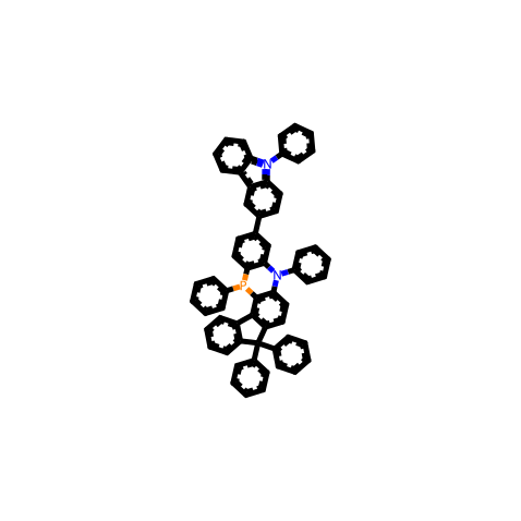 c1ccc(N2c3cc(-c4ccc5c(c4)c4ccccc4n5-c4ccccc4)ccc3P(c3ccccc3)c3c2ccc2c3-c3ccccc3C2(c2ccccc2)c2ccccc2)cc1